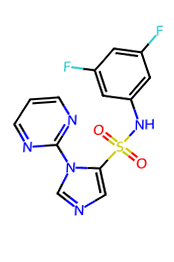 O=S(=O)(Nc1cc(F)cc(F)c1)c1cncn1-c1ncccn1